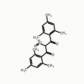 Cc1cc(C)c(C(=O)C([PH2]=O)C(=O)c2c(C)cc(C)cc2C)c(C)c1